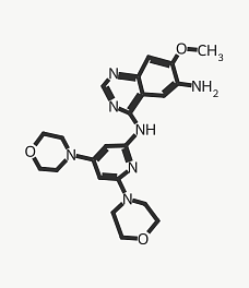 COc1cc2ncnc(Nc3cc(N4CCOCC4)cc(N4CCOCC4)n3)c2cc1N